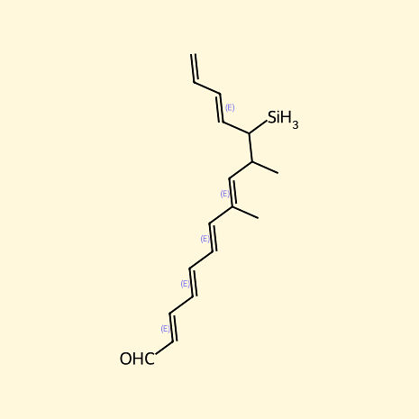 C=C/C=C/C([SiH3])C(C)/C=C(C)/C=C/C=C/C=C/C=O